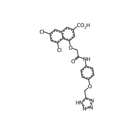 O=C(COc1cc(C(=O)O)cc2cc(Cl)cc(Cl)c12)Nc1ccc(OCc2nnn[nH]2)cc1